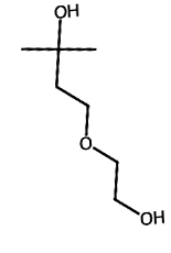 CC(C)(O)CCOCCO